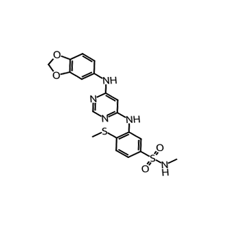 CNS(=O)(=O)c1ccc(SC)c(Nc2cc(Nc3ccc4c(c3)OCO4)ncn2)c1